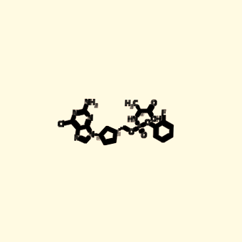 C[C@H](NP(=O)(OC[C@@H]1C=C[C@H](n2cnc3c(Cl)nc(N)nc32)C1)Oc1ccccc1F)C(=O)O